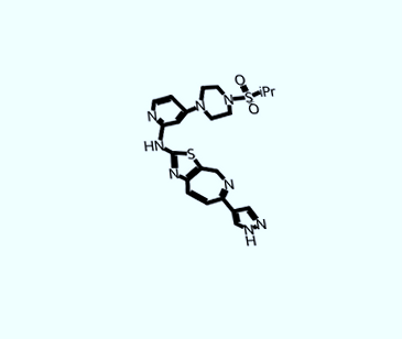 CC(C)S(=O)(=O)N1CCN(c2ccnc(Nc3nc4c(s3)CN=C(c3cn[nH]c3)C=C4)c2)CC1